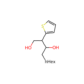 CCCCCCCC(O)C(CO)c1cccs1